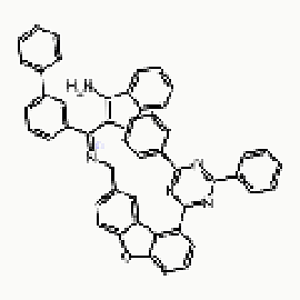 Nc1c(/C(=N\Cc2ccc3oc4cccc(-c5nc(-c6ccccc6)nc(-c6ccccc6)n5)c4c3c2)c2cccc(-c3ccccc3)c2)sc2ccccc12